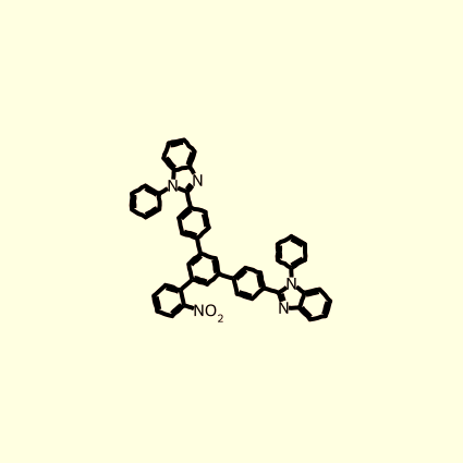 O=[N+]([O-])c1ccccc1-c1cc(-c2ccc(-c3nc4ccccc4n3-c3ccccc3)cc2)cc(-c2ccc(-c3nc4ccccc4n3-c3ccccc3)cc2)c1